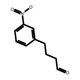 O=CCCCc1cccc([N+](=O)[O-])c1